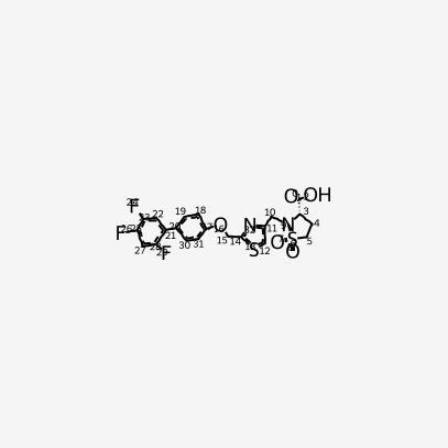 O=C(O)[C@@H]1CCS(=O)(=O)N1Cc1csc(COc2ccc(-c3cc(F)c(F)cc3F)cc2)n1